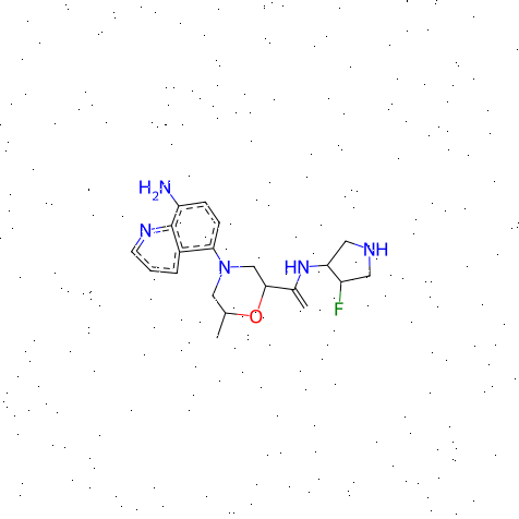 C=C(NC1CNCC1F)C1CN(c2ccc(N)c3ncccc23)CC(C)O1